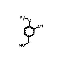 N#Cc1cc([CH]O)ccc1OC(F)(F)F